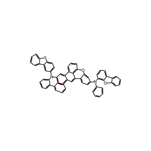 c1ccc(-c2ccccc2N(c2ccc3cc4c5c(cccc5c3c2)Oc2cc(N(c3ccccc3)c3cccc5c3oc3ccccc35)ccc2-4)c2ccc3sc4ccccc4c3c2)cc1